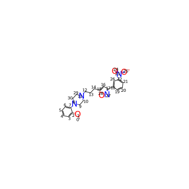 COc1ccccc1N1CCN(CCCc2cc(-c3cccc([N+](=O)[O-])c3)no2)CC1